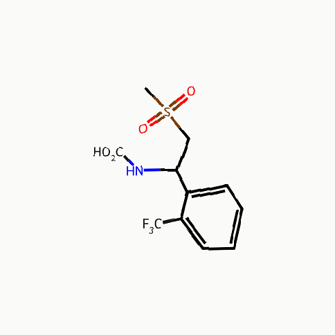 CS(=O)(=O)CC(NC(=O)O)c1ccccc1C(F)(F)F